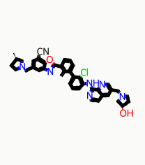 Cc1c(-c2nc3cc(CN4CC[C@H](C)C4)cc(C#N)c3o2)cccc1-c1cccc(Nc2nccc3cc(CN4CC[C@H](O)C4)cnc23)c1Cl